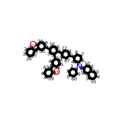 c1ccc(N(c2cccc(-c3ccc(-c4ccc(-c5ccc6oc7ccccc7c6c5)cc4-c4ccc5oc6ccccc6c5c4)cc3)c2)c2ccc3ccccc3c2)cc1